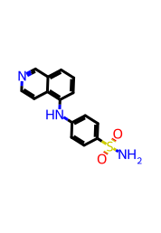 NS(=O)(=O)c1ccc(Nc2cccc3cnccc23)cc1